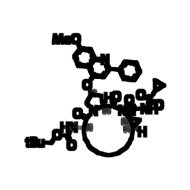 COc1ccc2c(O[C@@H]3C[C@H]4C(=O)N[C@]5(C(=O)NS(=O)(=O)C6CC6)C[C@H]5CCCCCCC[C@H](NC(=O)OCC(C)(C)C)C(=O)N4C3)cc(-c3ccccc3)nc2c1